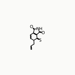 C=CCC1C=CC2=C(C(=O)NC2=O)C1=S